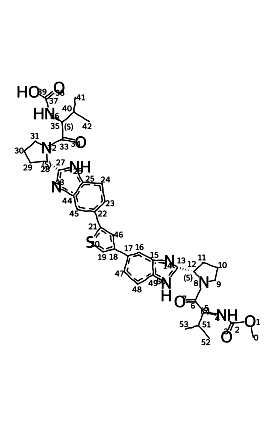 COC(=O)N[C@H](C(=O)N1CCC[C@H]1c1nc2cc(-c3csc(-c4ccc5[nH]c([C@@H]6CCCN6C(=O)[C@@H](NC(=O)O)C(C)C)nc5c4)c3)ccc2[nH]1)C(C)C